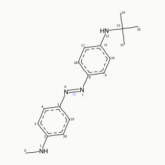 CNc1ccc(/N=N/c2ccc(NC(C)(C)C)cc2)cc1